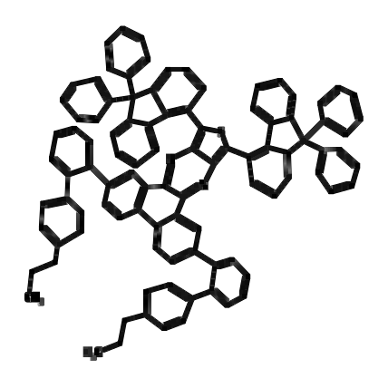 CCCc1ccc(-c2ccccc2-c2ccc3c4ccc(-c5ccccc5-c5ccc(CCC)cc5)cc4c4nc5c(-c6cccc7c6-c6ccccc6C7(c6ccccc6)c6ccccc6)sc(-c6cccc7c6-c6ccccc6C7(c6ccccc6)c6ccccc6)c5nc4c3c2)cc1